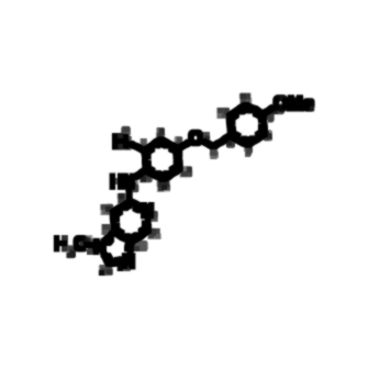 CCc1cc(OCc2ccc(OC)cc2)ccc1Nc1cc2c(cn1)ncn2C